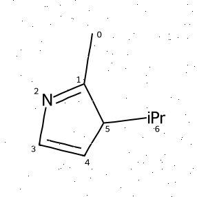 CC1=NC=CC1C(C)C